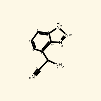 N#CC(N)c1cccc2[nH]nnc12